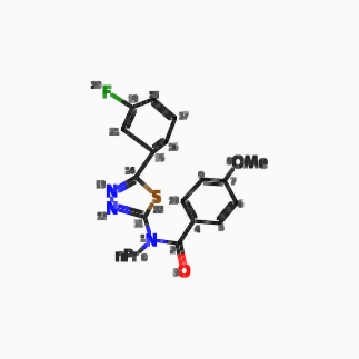 CCCN(C(=O)c1ccc(OC)cc1)c1nnc(-c2cccc(F)c2)s1